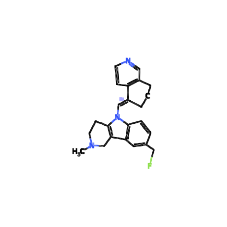 CN1CCc2c(c3cc(CF)ccc3n2/C=C2\CCCc3cnccc32)C1